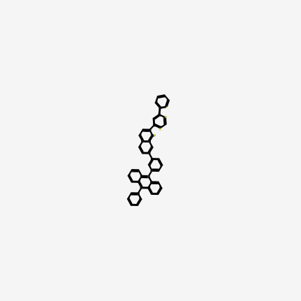 c1ccc(-c2c3ccccc3c(-c3cccc(-c4ccc5ccc6c7cc8c(cc7sc6c5c4)sc4ccccc48)c3)c3ccccc23)cc1